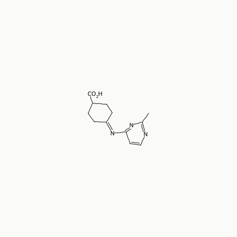 Cc1nccc(N=C2CCC(C(=O)O)CC2)n1